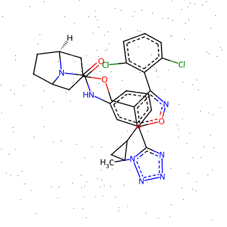 Cn1nnnc1-c1cccc(NC(=O)N2C3CC[C@H]2CC(OCc2c(-c4c(Cl)cccc4Cl)noc2C2CC2)C3)c1